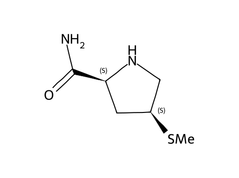 CS[C@@H]1CN[C@H](C(N)=O)C1